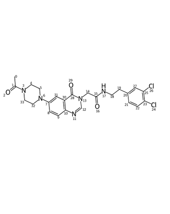 CC(=O)N1CCN(c2ccc3ncn(CC(=O)NCCc4ccc(Cl)c(Cl)c4)c(=O)c3c2)CC1